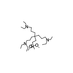 CCN(CC)CCCC(CCCN(CC)CC)(CCCN(CC)CC)CC[Si](C)(OC)OC